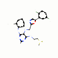 CC[SH](C)CCNc1nc(C)nc(Nc2ccccc2C(=O)O)c1NCc1ncc(-c2cc(Cl)ccc2Cl)o1